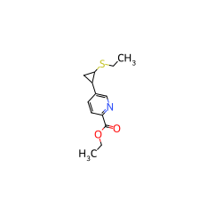 CCOC(=O)c1ccc(C2CC2SCC)cn1